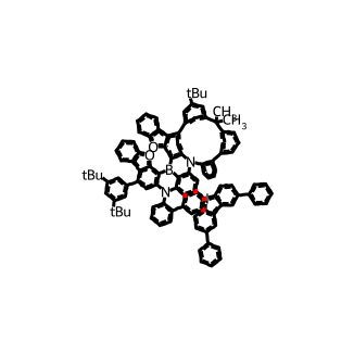 CC(C)(C)c1cc(-c2cc3c(c4oc5ccccc5c24)B2c4c(cc(-n5c6ccc(-c7ccccc7)cc6c6cc(-c7ccccc7)ccc65)cc4N4c5ccccc5-c5cccc(c5)C(C)(C)c5cc(cc(C(C)(C)C)c5)-c5cc4c2c2oc4ccccc4c52)N3c2ccccc2-c2ccccc2)cc(C(C)(C)C)c1